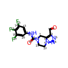 O=Cc1nnn2c1CN(C(=O)Nc1cc(F)c(F)c(F)c1)CC2